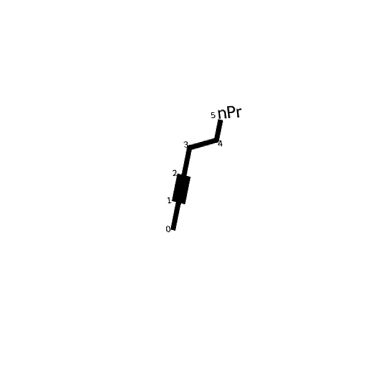 CC#C[CH]CCCC